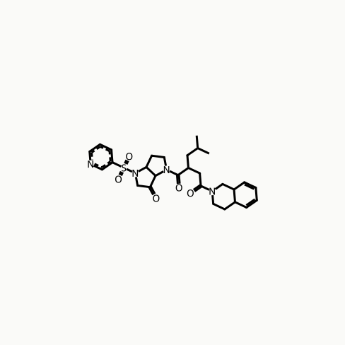 CC(C)CC(CC(=O)N1CCC2C=CC=CC2C1)C(=O)N1CCC2C1C(=O)CN2S(=O)(=O)c1cccnc1